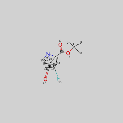 CC(C)(C)OC(=O)C12C3N1C1CCC32C(F)C(=O)C1